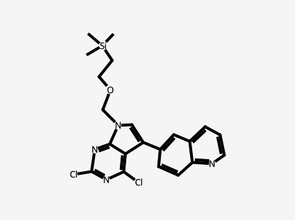 C[Si](C)(C)CCOCn1cc(-c2ccc3ncccc3c2)c2c(Cl)nc(Cl)nc21